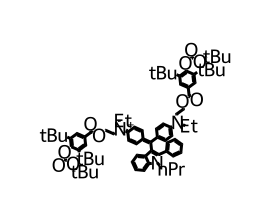 CCCn1c(-c2ccccc2)c(C(=C2C=CC(=[N+](CC)CCOC(=O)c3cc(C(C)(C)C)c(OC(=O)OC(C)(C)C)c(C(C)(C)C)c3)C=C2)c2ccc(N(CC)CCOC(=O)c3cc(C(C)(C)C)c(OC(=O)OC(C)(C)C)c(C(C)(C)C)c3)cc2)c2ccccc21